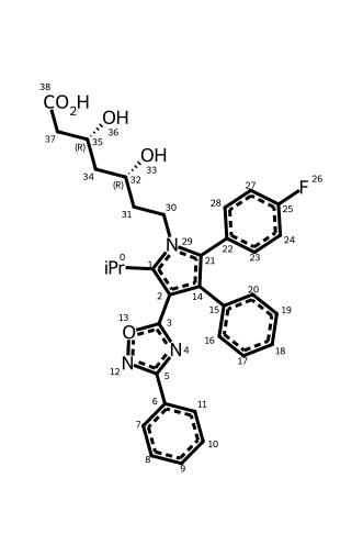 CC(C)c1c(-c2nc(-c3ccccc3)no2)c(-c2ccccc2)c(-c2ccc(F)cc2)n1CC[C@@H](O)C[C@@H](O)CC(=O)O